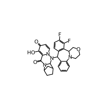 O=C1c2c(O)c(=O)ccn2N(C2c3ccccc3N3CCOCC3c3c2ccc(F)c3F)C2C3CCC(C3)N12